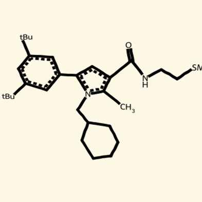 CSCCNC(=O)c1cc(-c2cc(C(C)(C)C)cc(C(C)(C)C)c2)n(CC2CCCCC2)c1C